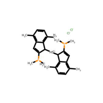 Cc1ccc(C)c2c1C=C(P(C)C)[CH]2[Hf+2][CH]1C(P(C)C)=Cc2c(C)ccc(C)c21.[Cl-].[Cl-]